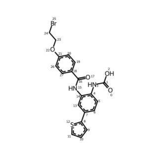 O=C(O)Nc1ccc(-c2cccs2)cc1NC(=O)c1ccc(OCCBr)cc1